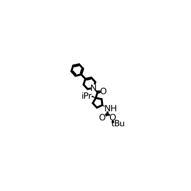 CC(C)[C@]1(C(=O)N2CC=C(c3ccccc3)CC2)CC[C@@H](NC(=O)OC(C)(C)C)C1